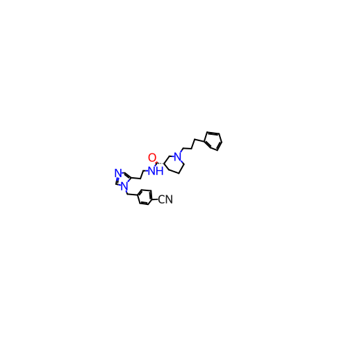 N#Cc1ccc(Cn2cncc2CCNC(=O)[C@H]2CCCN(CCCc3ccccc3)C2)cc1